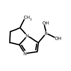 CC1CCc2ncc(B(O)O)n21